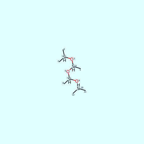 C[SiH](C)O[SiH](C)O[SiH](C)O[SiH](C)C